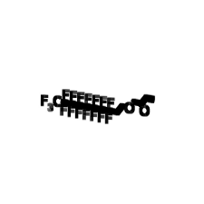 C=CC(=O)COCCC(F)(F)C(F)(F)C(F)(F)C(F)(F)C(F)(F)C(F)(F)C(F)(F)C(F)(F)F